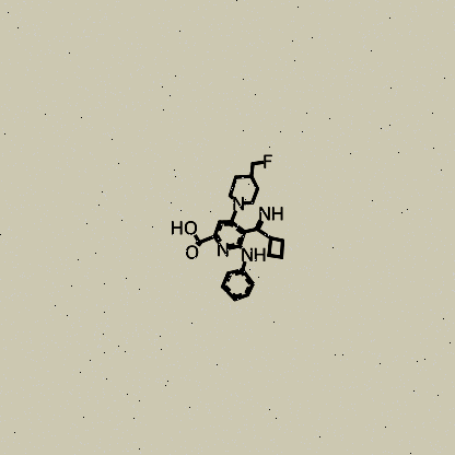 N=C(c1c(N2CCC(CF)CC2)cc(C(=O)O)nc1Nc1ccccc1)C1CCC1